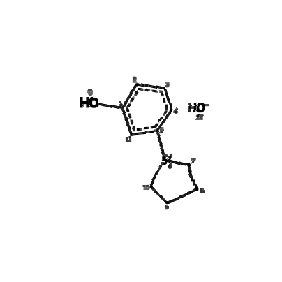 Oc1cccc([S+]2CCCC2)c1.[OH-]